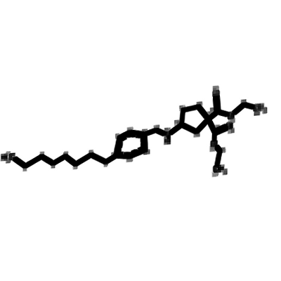 CCCCCCCCc1ccc(CNC2CCC(C(=O)OCC)(C(=O)OCC)C2)cc1